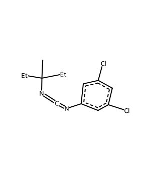 CCC(C)(CC)N=C=Nc1cc(Cl)cc(Cl)c1